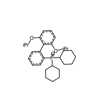 CC(C)Oc1cccc(OC(C)C)c1-c1ccccc1P(=O)(C1CCCCC1)C1CCCCC1